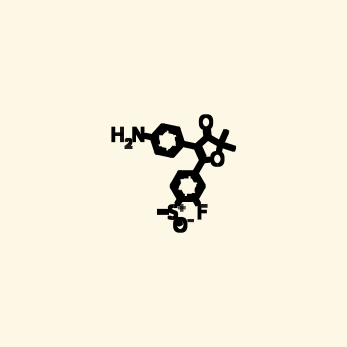 C[S+]([O-])c1ccc(C2=C(c3ccc(N)cc3)C(=O)C(C)(C)O2)cc1F